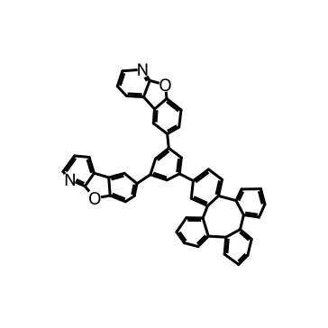 c1ccc2c(c1)-c1ccccc1-c1ccc(-c3cc(-c4ccc5oc6ncccc6c5c4)cc(-c4ccc5oc6ncccc6c5c4)c3)cc1-c1ccccc1-2